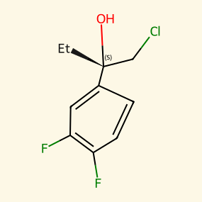 CC[C@@](O)(CCl)c1ccc(F)c(F)c1